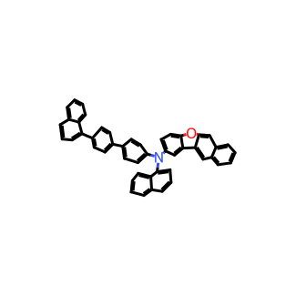 c1ccc2cc3c(cc2c1)oc1ccc(N(c2ccc(-c4ccc(-c5cccc6ccccc56)cc4)cc2)c2cccc4ccccc24)cc13